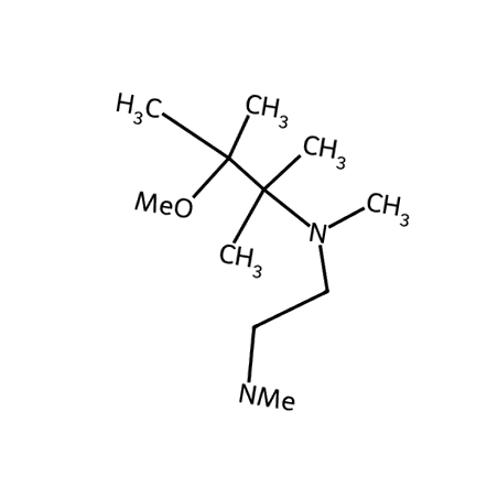 CNCCN(C)C(C)(C)C(C)(C)OC